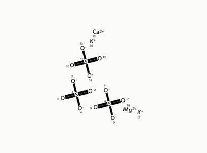 O=S(=O)([O-])[O-].O=S(=O)([O-])[O-].O=S(=O)([O-])[O-].[Ca+2].[K+].[K+].[Mg+2]